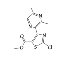 COC(=O)c1sc(Cl)nc1-c1ncc(C)nc1C